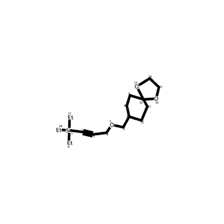 CC[Si](C#CCOCC1CCC2(CC1)OCCO2)(CC)CC